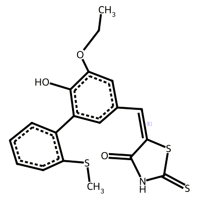 CCOc1cc(/C=C2/SC(=S)NC2=O)cc(-c2ccccc2SC)c1O